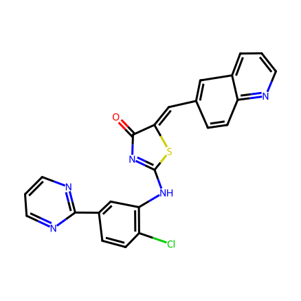 O=C1N=C(Nc2cc(-c3ncccn3)ccc2Cl)S/C1=C\c1ccc2ncccc2c1